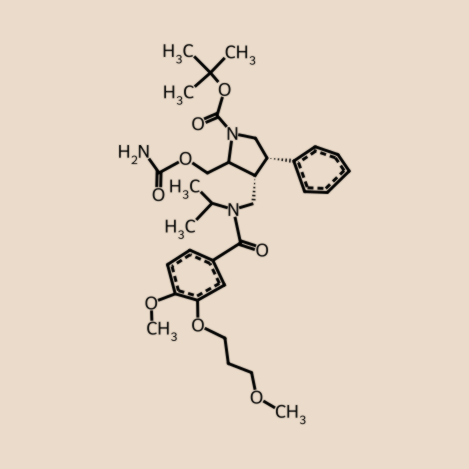 COCCCOc1cc(C(=O)N(C[C@@H]2C(COC(N)=O)N(C(=O)OC(C)(C)C)C[C@@H]2c2ccccc2)C(C)C)ccc1OC